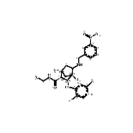 CCNC(=O)[C@H]1[C@H]2CC(NCc3cccc([N+](=O)[O-])c3)[C@@H](C2)[C@H]1Nc1nc(Cl)ncc1F